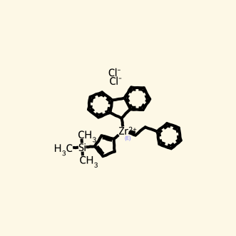 C[Si](C)(C)C1=CC[C](/[Zr+2](=[CH]/Cc2ccccc2)[CH]2c3ccccc3-c3ccccc32)=C1.[Cl-].[Cl-]